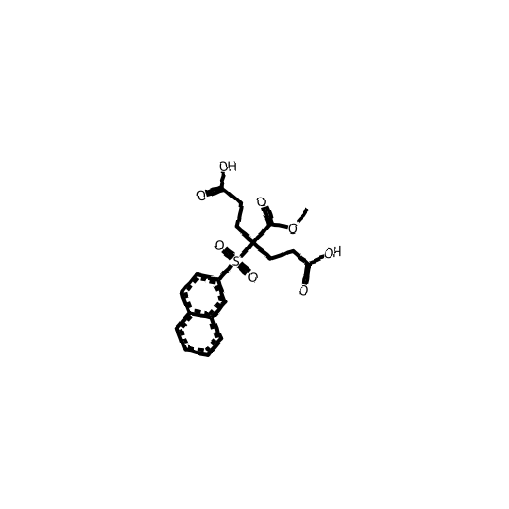 COC(=O)C(CCC(=O)O)(CCC(=O)O)S(=O)(=O)c1ccc2ccccc2c1